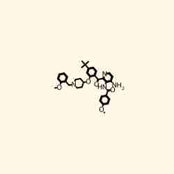 COc1ccc(C(=O)Nc2c(N)ccnc2C(=O)c2ccc(C(C)(C)C)cc2OC2CCN(Cc3ccccc3OC)CC2)cc1